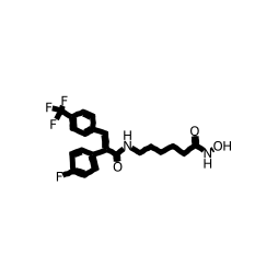 O=C(CCCCCNC(=O)/C(=C/c1ccc(C(F)(F)F)cc1)c1ccc(F)cc1)NO